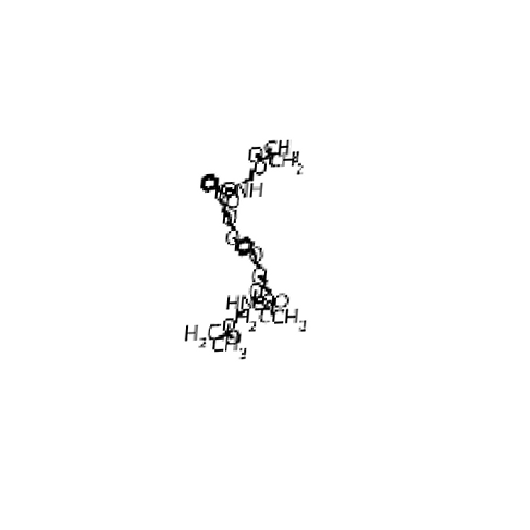 C=C(C)C(=O)OCCCNC(=O)OC(COCCOc1ccc(OCCOCC(COc2ccccc2)OC(=O)NCCCOC(=O)C(=C)C)cc1)COC(=O)C(=C)C